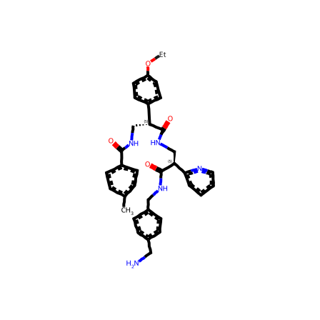 CCOc1ccc([C@@H](CNC(=O)c2ccc(C)cc2)C(=O)NC[C@H](C(=O)NCc2ccc(CN)cc2)c2ccccn2)cc1